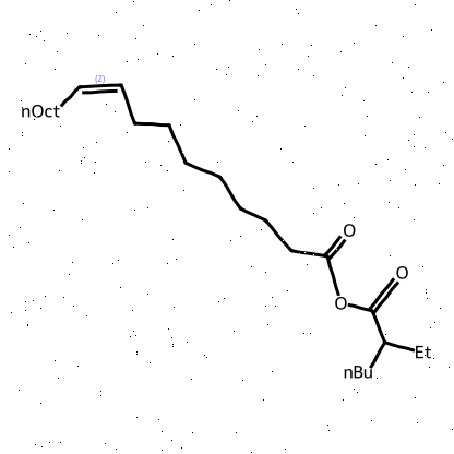 CCCCCCCC/C=C\CCCCCCCC(=O)OC(=O)C(CC)CCCC